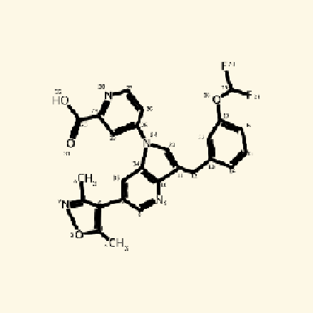 Cc1noc(C)c1-c1cnc2c(Cc3cccc(OC(F)F)c3)cn(-c3ccnc(C(=O)O)c3)c2c1